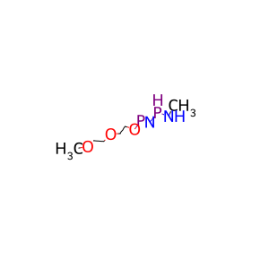 CNPN=POCCOCCOC